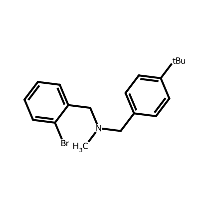 CN(Cc1ccc(C(C)(C)C)cc1)Cc1ccccc1Br